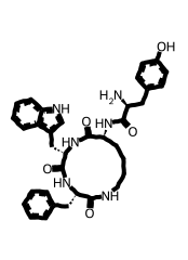 N[C@@H](Cc1ccc(O)cc1)C(=O)N[C@@H]1CCCCNC(=O)[C@H](Cc2ccccc2)NC(=O)[C@H](Cc2c[nH]c3ccccc23)NC1=O